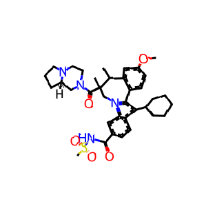 COc1ccc2c(c1)C(C)C(C)(C(=O)N1CCN3CCC[C@H]3C1)Cn1c-2c(C2CCCCC2)c2ccc(C(=O)NS(C)(=O)=O)cc21